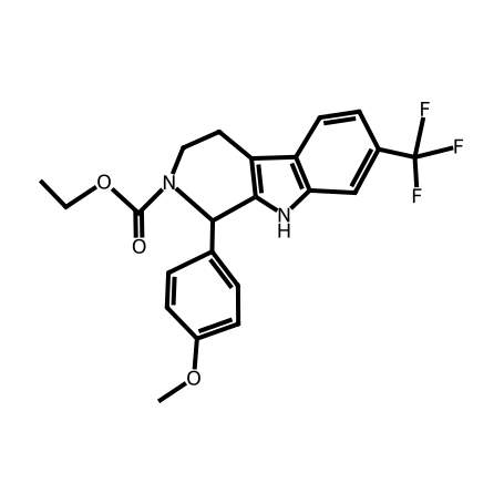 CCOC(=O)N1CCc2c([nH]c3cc(C(F)(F)F)ccc23)C1c1ccc(OC)cc1